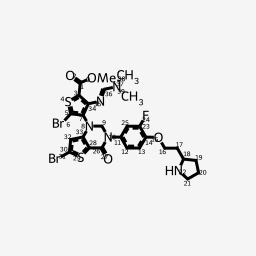 COC(=O)c1sc(Br)c(N2CN(c3ccc(OCCC4CCCN4)c(F)c3)C(=O)c3sc(Br)cc32)c1N=CN(C)C